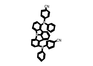 N#Cc1ccc(N(c2ccccc2)c2cccc3c2c2cccc4c5c(N(c6ccccc6)c6ccc(C#N)cc6)cccc5n3c24)cc1